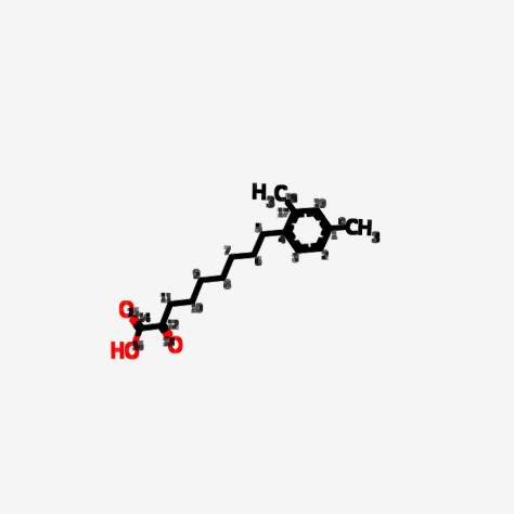 Cc1ccc(CCCCCCCC(=O)C(=O)O)c(C)c1